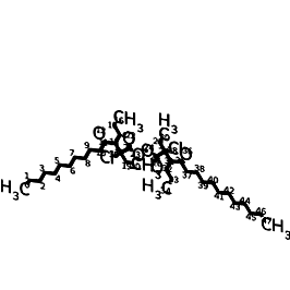 CCCCCCCCCCCC(=O)C(CCC)C(Cl)(CC)C(=O)OOC(=O)C(Cl)(CC)C(CCC)C(=O)CCCCCCCCCCC